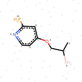 BC(C)COc1ccnc(P)c1